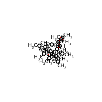 Cc1cc(C)c(-c2cc3c4c(c2)N(c2ccccc2)c2ccccc2B4c2cc4c(cc2N3)N(c2c(C)cc(C)cc2C)c2cc(-c3c(C)cc(C)cc3C)cc3c2B4c2cc4c(cc2N3c2c(C)cc(C)cc2C)N(c2c(C)cc(C)cc2C)c2cc(-c3c(C)cc(C)cc3C)cc3c2B4c2ccccc2O3)c(C)c1